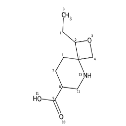 CCC1OCC12CCC(C(=O)O)CN2